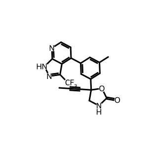 CC#CC1(c2cc(C)cc(-c3ccnc4[nH]nc(C(F)(F)F)c34)c2)CNC(=O)O1